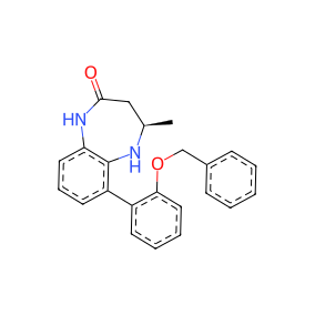 C[C@@H]1CC(=O)Nc2cccc(-c3ccccc3OCc3ccccc3)c2N1